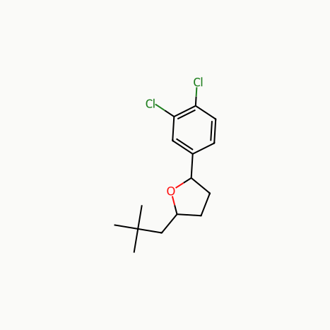 CC(C)(C)CC1CCC(c2ccc(Cl)c(Cl)c2)O1